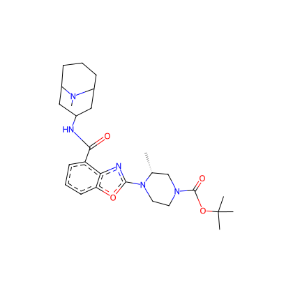 C[C@@H]1CN(C(=O)OC(C)(C)C)CCN1c1nc2c(C(=O)NC3CC4CCCC(C3)N4C)cccc2o1